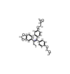 CC/C(=C(\c1ccc(OCOC)cc1)c1ccc(OCC2CO2)cc1)c1ccc2c(c1)OCO2